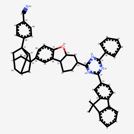 CC1(C)c2ccccc2-c2ccc(-c3nc(-c4ccccc4)nc(C4CCC5c6cc(C78CC9CC(CC(c%10ccc(C#N)cc%10)(C9)C7)C8)ccc6OC5C4)n3)cc21